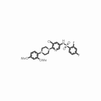 COc1ccc(N2CCN(c3ncc(NS(=O)(=O)c4ccc(F)cc4F)cc3Cl)CC2)c(OC)c1